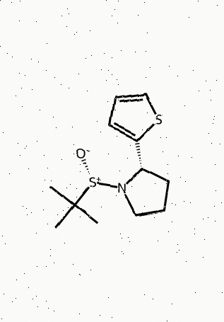 CC(C)(C)[S@+]([O-])N1CCC[C@H]1c1cccs1